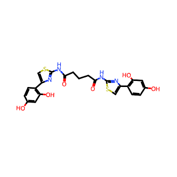 O=C(CCCC(=O)Nc1nc(-c2ccc(O)cc2O)cs1)Nc1nc(-c2ccc(O)cc2O)cs1